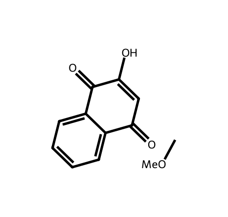 COC.O=C1C=C(O)C(=O)c2ccccc21